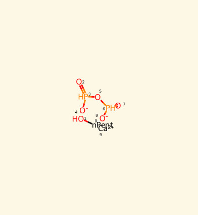 CCCCCO.O=[PH]([O-])O[PH](=O)[O-].[Ca+2]